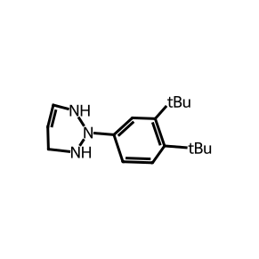 CC(C)(C)c1ccc(N2NC=CCN2)cc1C(C)(C)C